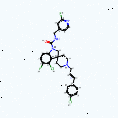 O=C(NCc1ccnc(F)c1)N1CC2(CCN(C/C=C/c3ccc(Cl)cc3)CC2)c2c1ccc(F)c2Cl